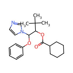 CC(C)(C)C(OC(=O)C1CCCCC1)C(Oc1ccccc1)n1ccnc1